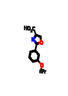 CCCOc1cccc(-c2nc(C(=O)O)co2)c1